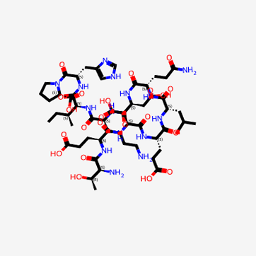 CC[C@H](C)[C@H](NC(=O)[C@H](CCCCN)NC(=O)[C@H](CC(=O)O)NC(=O)[C@H](CCC(N)=O)NC(=O)[C@H](CC(C)C)NC(=O)[C@H](CCC(=O)O)NC(=O)[C@H](CC(=O)O)NC(=O)[C@H](CCC(=O)O)NC(=O)[C@@H](N)[C@@H](C)O)C(=O)N[C@@H](Cc1c[nH]cn1)C(=O)N1CCC[C@H]1C(=O)O